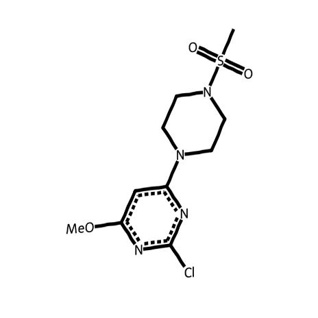 COc1cc(N2CCN(S(C)(=O)=O)CC2)nc(Cl)n1